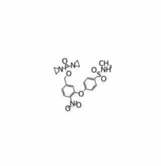 CNS(=O)(=O)c1ccc(Oc2cc(COP(=O)(N3CC3)N3CC3)ccc2[N+](=O)[O-])cc1